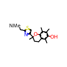 CNCc1nc(C2(C)CCc3c(C)c(O)c(C)c(C)c3O2)cs1